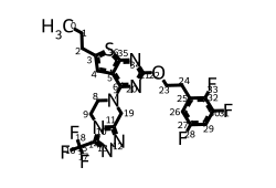 CCCc1cc2c(N3CCn4c(nnc4C(F)(F)F)C3)nc(OCCc3cc(F)cc(F)c3F)nc2s1